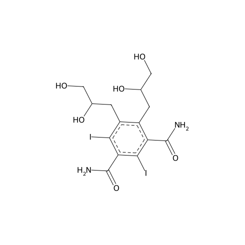 NC(=O)c1c(I)c(CC(O)CO)c(CC(O)CO)c(C(N)=O)c1I